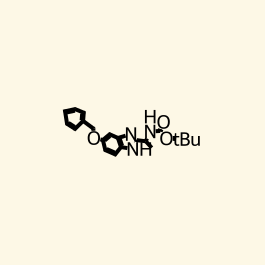 CC(NC(=O)OC(C)(C)C)c1nc2cc(OCc3ccccc3)ccc2[nH]1